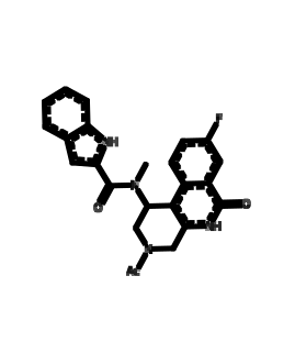 CC(=O)N1Cc2[nH]c(=O)c3cc(F)ccc3c2C(N(C)C(=O)c2cc3ccccc3[nH]2)C1